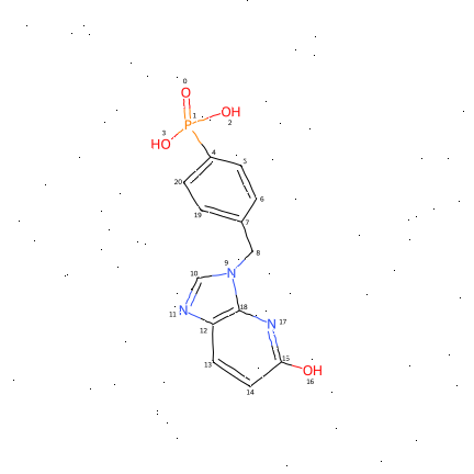 O=P(O)(O)c1ccc(Cn2cnc3ccc(O)nc32)cc1